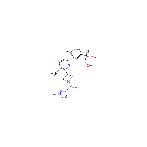 Cc1ccc(C(O)(CO)C(F)(F)F)cc1-c1cnc(N)c(C2CN([S+]([O-])c3ccn(C)n3)C2)n1